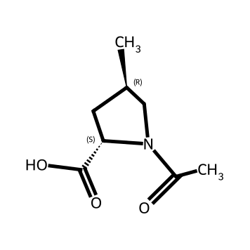 CC(=O)N1C[C@H](C)C[C@H]1C(=O)O